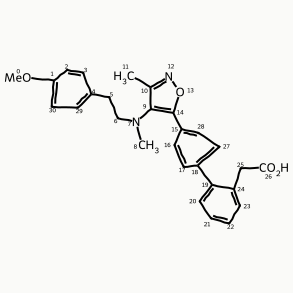 COc1ccc(CCN(C)c2c(C)noc2-c2ccc(-c3ccccc3CC(=O)O)cc2)cc1